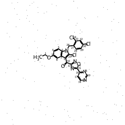 CCOc1ccc2c(c1)c(C(=O)c1noc(-c3ccncn3)n1)c(Cl)n2Cc1ccc(Cl)cc1Cl